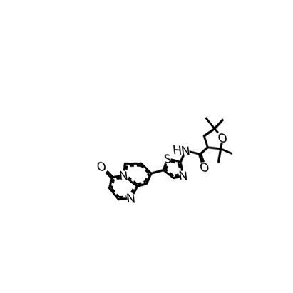 CC1(C)CC(C(=O)Nc2ncc(-c3ccn4c(=O)ccnc4c3)s2)C(C)(C)O1